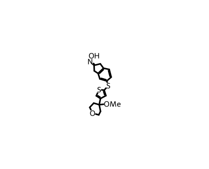 COC1(c2csc(Sc3ccc4c(c3)CC(=NO)C4)c2)CCOCC1